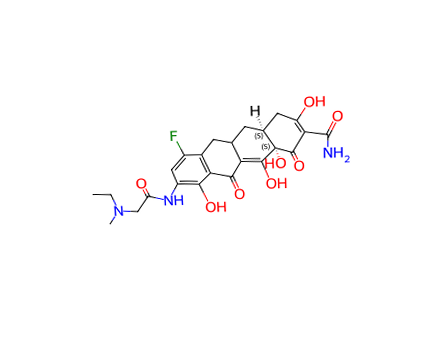 CCN(C)CC(=O)Nc1cc(F)c2c(c1O)C(=O)C1=C(O)[C@]3(O)C(=O)C(C(N)=O)=C(O)C[C@@H]3CC1C2